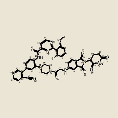 COc1cccc(F)c1-c1nccc(C(=O)Nc2ccc(-c3cnccc3C#N)cc2N2CCN(C(=O)CNc3ccc4c(c3)C(=O)N(C3CCC(=O)NC3=O)C4=O)CC2)n1